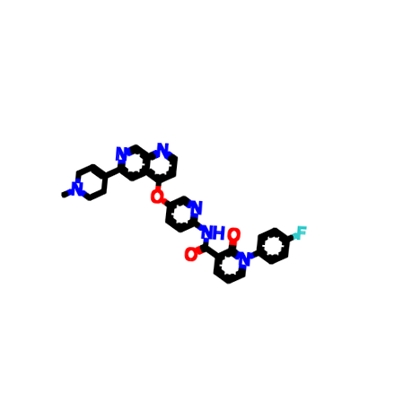 CN1CC=C(c2cc3c(Oc4ccc(NC(=O)c5cccn(-c6ccc(F)cc6)c5=O)nc4)ccnc3cn2)CC1